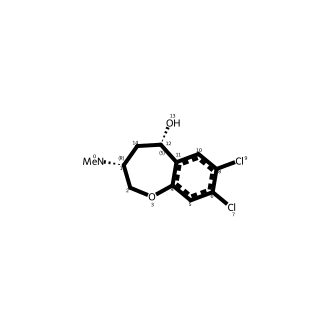 CN[C@H]1COc2cc(Cl)c(Cl)cc2[C@@H](O)C1